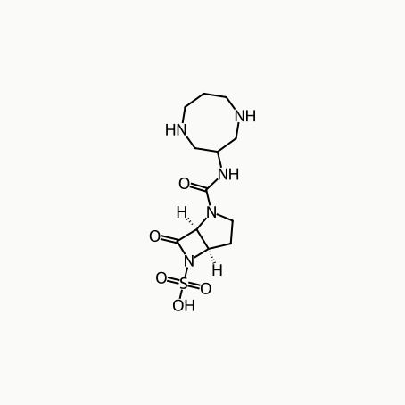 O=C(NC1CNCCCNC1)N1CC[C@@H]2[C@H]1C(=O)N2S(=O)(=O)O